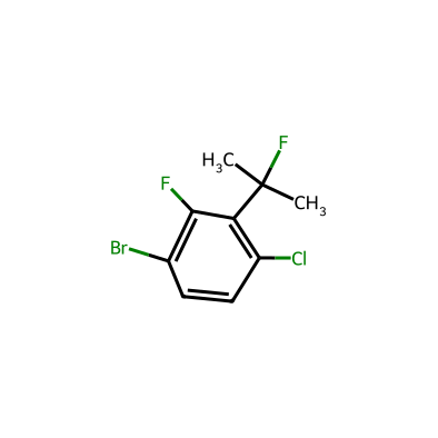 CC(C)(F)c1c(Cl)ccc(Br)c1F